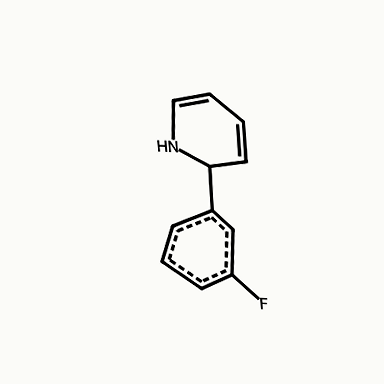 Fc1cccc(C2C=CC=CN2)c1